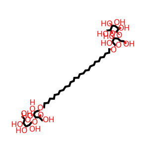 OCC1OC(O[C@H]2C(CO)OC(OCCCCCCCCCCCCCCCCCCCCCCCCCCCCO[C@@H]3OC(CO)[C@@H](O[C@H]4OC(CO)[C@@H](O)[C@H](O)C4O)[C@H](O)C3O)[C@H](O)C2O)[C@H](O)C(O)[C@H]1O